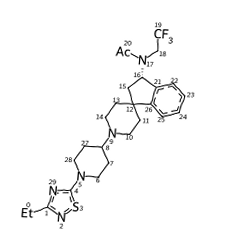 CCc1nsc(N2CCC(N3CCC4(CC3)C[C@H](N(CC(F)(F)F)C(C)=O)c3ccccc34)CC2)n1